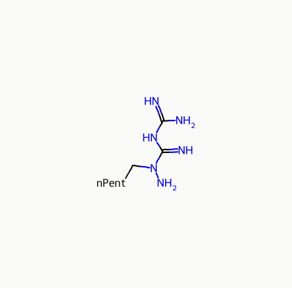 CCCCCCN(N)C(=N)NC(=N)N